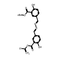 C=C(CC)OC(=O)c1cc(/C=N/N=C/c2ccc(O)c(C(=O)OCCCC)c2)ccc1O